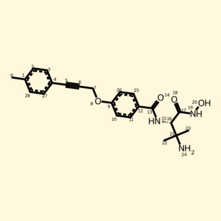 Cc1ccc(C#CCOc2ccc(C(=O)N[C@H](C(=O)NO)C(C)(C)N)cc2)cc1